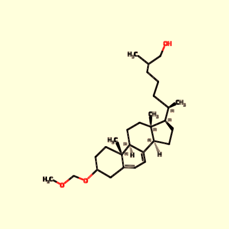 COCOC1CC[C@@]2(C)C(=CC=C3[C@@H]4CC[C@H]([C@H](C)CCCC(C)CO)[C@@]4(C)CC[C@@H]32)C1